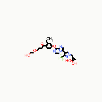 CCc1cc(Oc2nccn3c(-c4cn(CC5CC5(O)O)nc4C(F)(F)F)cnc23)ccc1C(=O)CCCOCCO